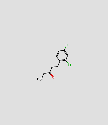 CCC(=O)CCc1ccc(Cl)cc1Cl